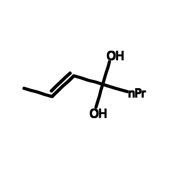 CC=CC(O)(O)CCC